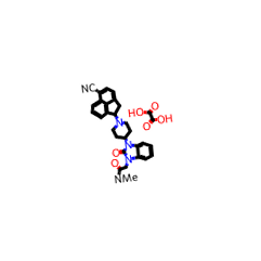 CNC(=O)Cn1c(=O)n(C2CCN(C3Cc4ccc(C#N)c5cccc3c45)CC2)c2ccccc21.O=C(O)C(=O)O